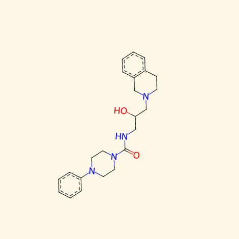 O=C(NCC(O)CN1CCc2ccccc2C1)N1CCN(c2ccccc2)CC1